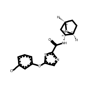 O=C(N[C@@H]1C[C@H]2CC[C@@H]1N2)c1ncc(Oc2cccc(Cl)c2)s1